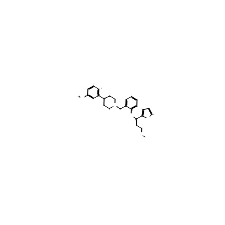 CNCCC(Oc1ccccc1CN1CCC(c2cccc(OC)c2)CC1)c1cccs1